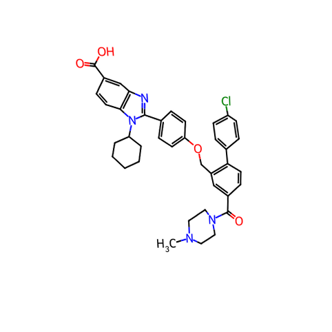 CN1CCN(C(=O)c2ccc(-c3ccc(Cl)cc3)c(COc3ccc(-c4nc5cc(C(=O)O)ccc5n4C4CCCCC4)cc3)c2)CC1